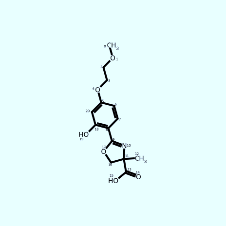 COCCOc1ccc(C2=NC(C)(C(=O)O)CO2)c(O)c1